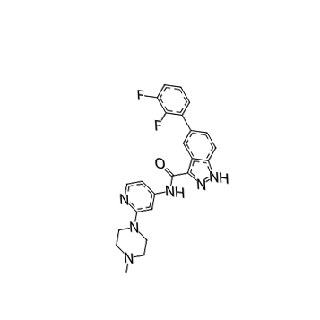 CN1CCN(c2cc(NC(=O)c3n[nH]c4ccc(-c5cccc(F)c5F)cc34)ccn2)CC1